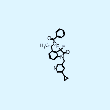 C[C@H](OC(=O)c1ccccc1)c1cccc2c1C(F)(F)C(=O)N2Cc1cncc(C2CC2)c1